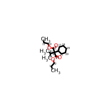 CCCOC(=O)C(C(=O)OCCC)(C(C)C)C1CCCCC1